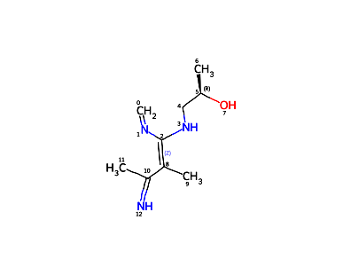 C=N/C(NC[C@@H](C)O)=C(/C)C(C)=N